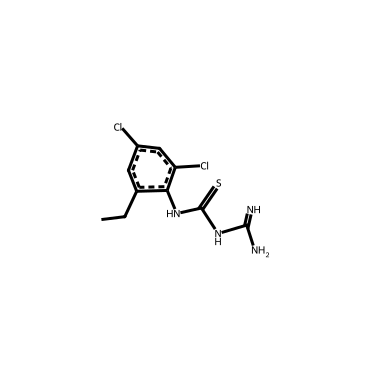 CCc1cc(Cl)cc(Cl)c1NC(=S)NC(=N)N